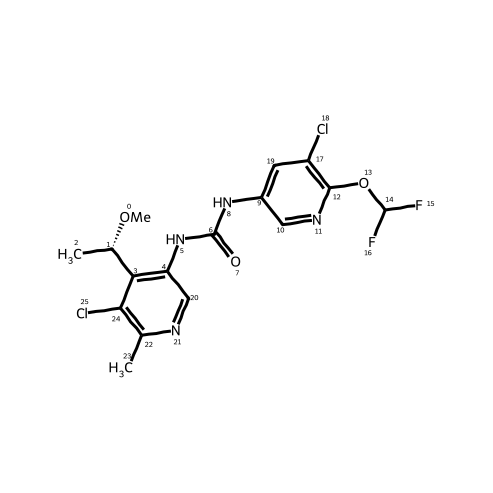 CO[C@@H](C)c1c(NC(=O)Nc2cnc(OC(F)F)c(Cl)c2)cnc(C)c1Cl